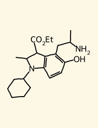 CCOC(=O)C1c2c(ccc(O)c2CC(C)N)N(C2CCCCC2)C1C